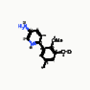 COc1c(C=O)cc(C)cc1-c1ccc(N)cn1